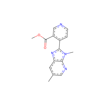 COC(=O)c1cnccc1-c1nc2cc(C)cnc2n1C